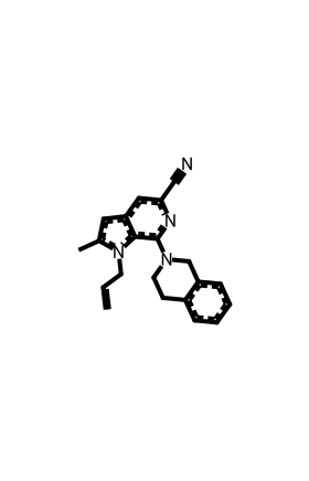 C=CCn1c(C)cc2cc(C#N)nc(N3CCc4ccccc4C3)c21